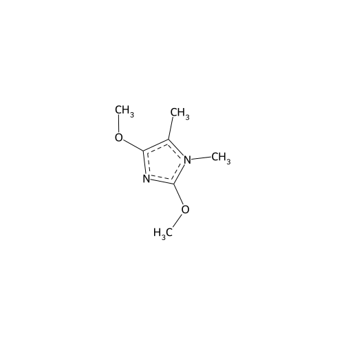 COc1nc(OC)n(C)c1C